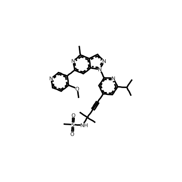 COc1ccncc1-c1cc2c(cnn2-c2cc(C#CC(C)(C)NS(C)(=O)=O)cc(C(C)C)n2)c(C)n1